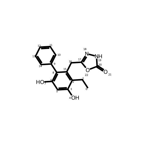 CCc1c(O)cc(O)c(-c2ccccc2)c1Cc1n[nH]c(=O)o1